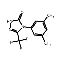 Cc1cc(C)cc(-n2c(C(F)(F)F)n[nH]c2=O)c1